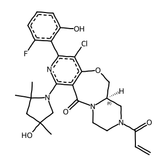 C=CC(=O)N1CCN2C(=O)c3c(N4CC(C)(O)CC4(C)C)nc(-c4c(O)cccc4F)c(Cl)c3OC[C@H]2C1